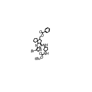 CC(C)(C)OC(=O)N[C@H]1CC[C@H](Nc2c3c(nc4c(Br)cnn24)C2(CCCC2)C(COC(=O)c2ccccc2)C3)C1